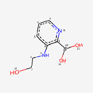 OCCNc1cccnc1B(O)O